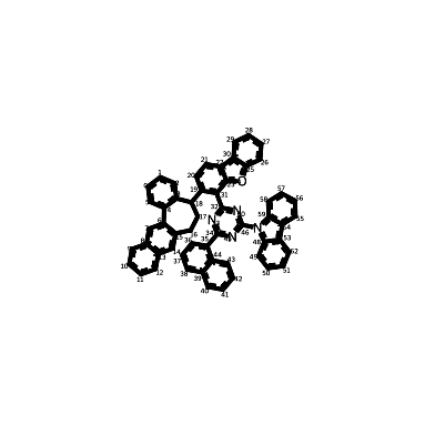 c1ccc2c(c1)-c1cc3ccccc3cc1CCC2c1ccc2c(oc3ccccc32)c1-c1nc(-c2cccc3ccccc23)nc(-n2c3ccccc3c3ccccc32)n1